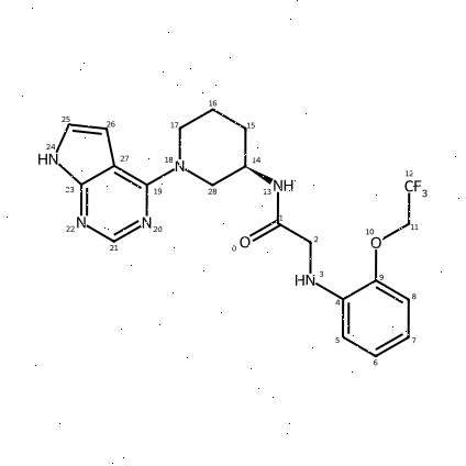 O=C(CNc1ccccc1OCC(F)(F)F)N[C@@H]1CCCN(c2ncnc3[nH]ccc23)C1